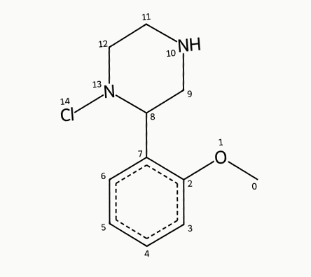 COc1ccccc1C1CNCCN1Cl